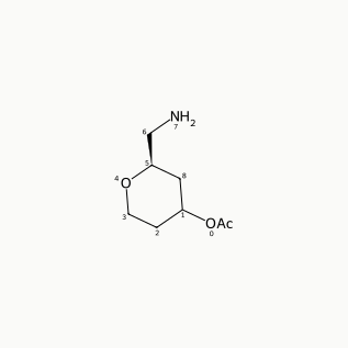 CC(=O)OC1CCO[C@@H](CN)C1